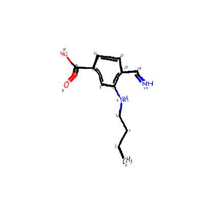 CCCCNc1cc(C(=O)O)ccc1C=N